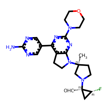 C[C@]1(N2CCc3c(-c4cnc(N)nc4)nc(N4CCOCC4)nc32)CCN([C@]2(C=O)C[C@H]2F)C1